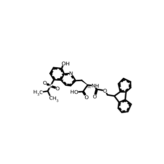 CC(C)S(=O)(=O)c1ccc(O)c2nc(C[C@@H](NC(=O)OCC3c4ccccc4-c4ccccc43)C(=O)O)ccc12